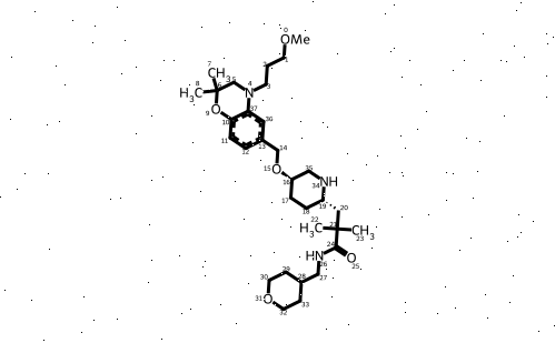 COCCCN1CC(C)(C)Oc2ccc(CO[C@@H]3CC[C@@H](CC(C)(C)C(=O)NCC4CCOCC4)NC3)cc21